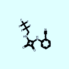 N#Cc1ccccc1Nc1c(NCC(F)(F)C(F)(F)F)c(=O)c1=O